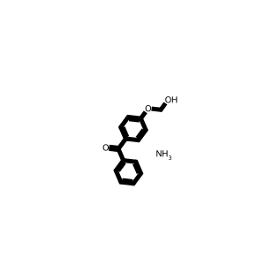 N.O=C(c1ccccc1)c1ccc(OCO)cc1